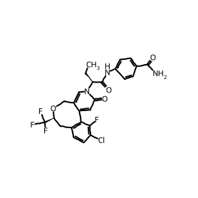 CC[C@@H](C(=O)Nc1ccc(C(N)=O)cc1)n1cc2c(cc1=O)-c1c(ccc(Cl)c1F)C[C@@H](C(F)(F)F)OC2